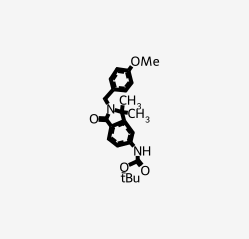 COc1ccc(CN2C(=O)c3ccc(NC(=O)OC(C)(C)C)cc3C2(C)C)cc1